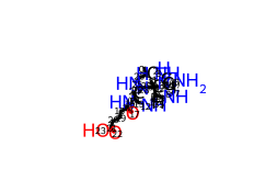 CC1CNC[C@]2(N)CNC[C@H]3CNC[C@](NC(=O)CCCC(=O)O)(CNC1)CNCC3(C)CNC2